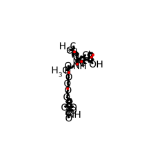 CCC(=O)N1CCN(c2nc(NCCC(=O)N(C)CCOCCOCCOCCOc3ccc4c(c3)C(=O)N(C3CCC(=O)NC3=O)C4=O)nc3c(F)c(-c4cc(O)cc5ccccc45)c(Cl)cc23)CC1